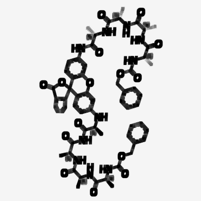 C[C@H](NC(=O)OCc1ccccc1)C(=O)N[C@@H](C)C(=O)N[C@@H](C)C(=O)NC(=O)[C@H](C)Nc1ccc2c(c1)Oc1cc(NC(=O)[C@H](C)NC(=O)[C@H](C)NC(=O)[C@H](C)NC(=O)[C@H](C)NC(=O)OCc3ccccc3)ccc1C21OC(=O)c2ccccc21